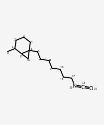 CC1CCCC2(CCCCCCCN=C=O)CC12